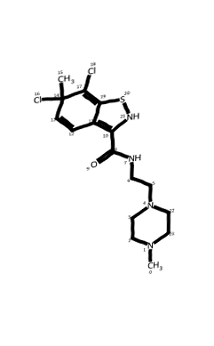 CN1CCN(CCNC(=O)C2=C3C=CC(C)(Cl)C(Cl)=C3SN2)CC1